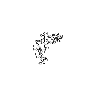 NCCN.O=C(O)CN(CCN(CC(=O)O)CC(=O)O)CC(=O)O.O=P(O)(O)CP(=O)(O)O.O=P(O)(O)CP(=O)(O)O.O=P(O)(O)CP(=O)(O)O.O=P(O)(O)CP(=O)(O)O